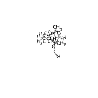 [2H]C[C@H]1O[C@@H](C)[C@@H](O[Si](C)(C)C(C)(C)C)C1OP(C)OCCC#N